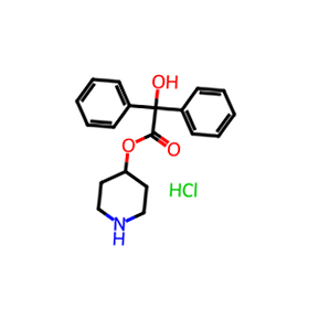 Cl.O=C(OC1CCNCC1)C(O)(c1ccccc1)c1ccccc1